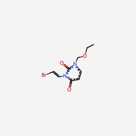 CCOCn1ccc(=O)n(C=CBr)c1=O